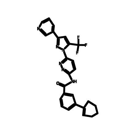 O=C(Nc1ccc(-n2nc(-c3cccnc3)cc2C(F)(F)F)nn1)c1cccc(C2=CCCCC2)c1